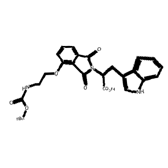 CC(C)(C)OC(=O)NCCOc1cccc2c1C(=O)N(C(Cc1c[nH]c3ccccc13)C(=O)O)C2=O